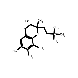 Cc1c(O)cc2c(c1C)OC(C)(CC[P+](C)(C)C)CC2.[Br-]